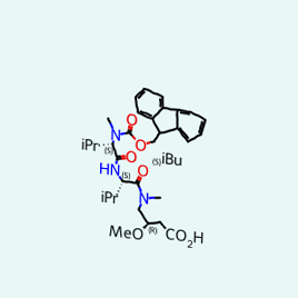 CC[C@H](C)C(OC(=O)N(C)[C@H](C(=O)N[C@H](C(=O)N(C)C[C@@H](CC(=O)O)OC)C(C)C)C(C)C)C1c2ccccc2-c2ccccc21